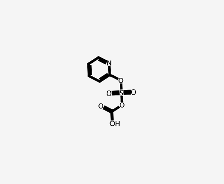 O=C(O)OS(=O)(=O)Oc1ccccn1